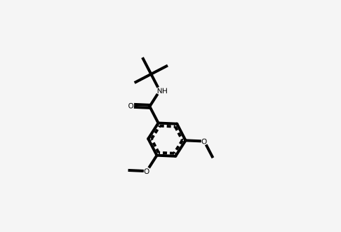 COc1cc(OC)cc(C(=O)NC(C)(C)C)c1